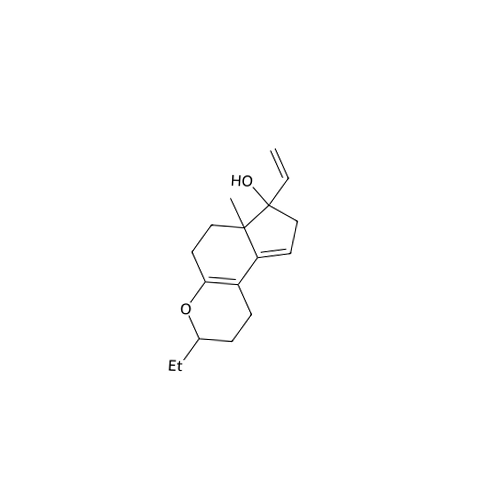 C=CC1(O)CC=C2C3=C(CCC21C)OC(CC)CC3